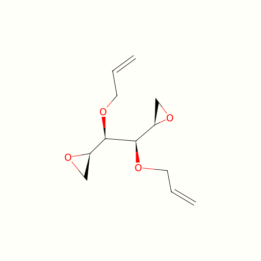 C=CCO[C@@H]([C@H](OCC=C)[C@H]1CO1)[C@H]1CO1